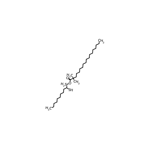 CCCCCCCCCCCCCCCCC(C)(C)C(=O)O[SiH2]C(S)CCCCCCCCC